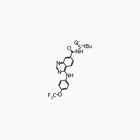 CC(C)(C)[S+]([O-])NC(=O)c1ccc2c(Nc3ccc(OC(F)(F)F)cc3)ncnc2c1